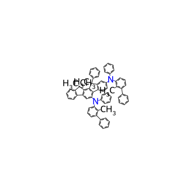 Cc1c(-c2ccccc2)cccc1N(c1ccccc1)c1ccc2c(c1)C(C)(c1ccccc1)c1c-2c(N(c2ccccc2)c2cccc(-c3ccccc3)c2C)cc2c1C(C)(C)c1ccccc1-2